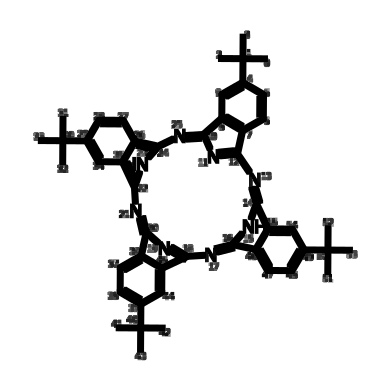 CC(C)(C)c1ccc2c(c1)-c1nc-2nc2[nH]c(nc3nc(nc4[nH]c(n1)c1ccc(C(C)(C)C)cc41)-c1ccc(C(C)(C)C)cc1-3)c1ccc(C(C)(C)C)cc21